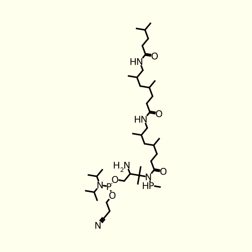 CPN(C(=O)CCC(C)CC(C)CNC(=O)CCC(C)CC(C)CNC(=O)CCC(C)C)C(C)(C)C(N)COP(OCCC#N)N(C(C)C)C(C)C